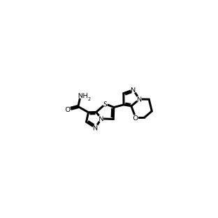 NC(=O)c1cnn2cc(-c3cnn4c3OCCC4)sc12